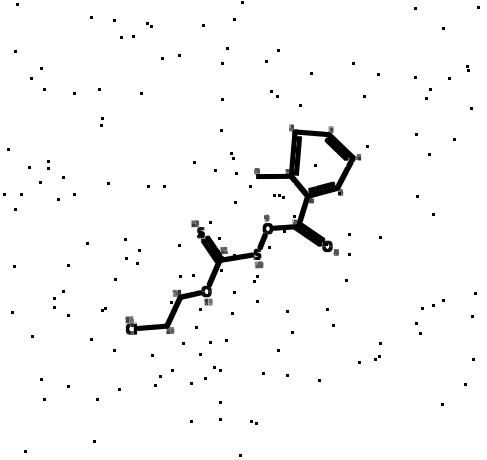 Cc1ccccc1C(=O)OSC(=S)OCCCl